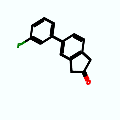 O=C1Cc2ccc(-c3cccc(F)c3)cc2C1